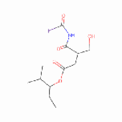 CCC(OC(=O)CC(CO)C(=O)NC(=O)I)C(C)C